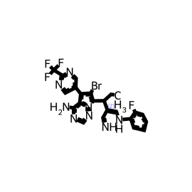 CCC(/C(C=N)=C/Nc1ccccc1F)c1c(Br)c(-c2cnc(C(F)(F)F)nc2)c2c(N)ncnn12